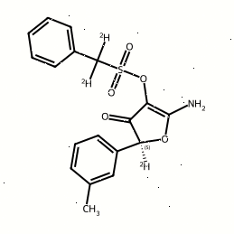 [2H]C([2H])(c1ccccc1)S(=O)(=O)OC1=C(N)O[C@@]([2H])(c2cccc(C)c2)C1=O